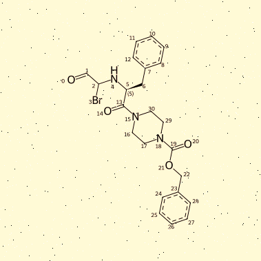 O=CC(Br)N[C@@H](Cc1ccccc1)C(=O)N1CCN(C(=O)OCc2ccccc2)CC1